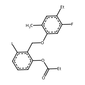 CCC(=O)Oc1cccc(I)c1COc1cc(F)c(CC)cc1C